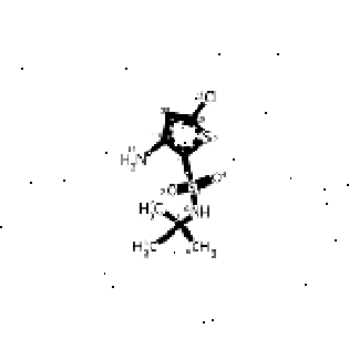 CC(C)(C)NS(=O)(=O)c1sc(Cl)cc1N